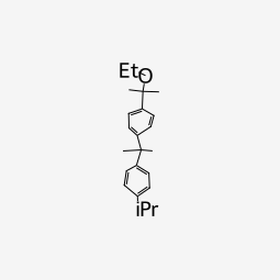 CCOC(C)(C)c1ccc(C(C)(C)c2ccc(C(C)C)cc2)cc1